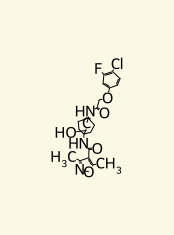 Cc1noc(C)c1C(=O)NC12CCC(NC(=O)COc3ccc(Cl)c(F)c3)(CC1)CC2O